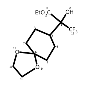 CCOC(=O)C(O)(C1CCC2(CC1)OCCO2)C(F)(F)F